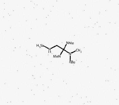 CCCCN(C)C(CN[SiH3])(NC)NC